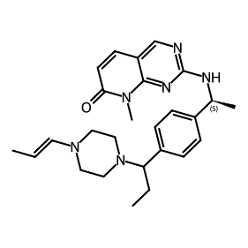 CC=CN1CCN(C(CC)c2ccc([C@H](C)Nc3ncc4ccc(=O)n(C)c4n3)cc2)CC1